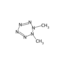 CN1N=NN=NN1C